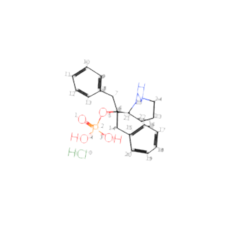 Cl.O=P(O)(O)OC(Cc1ccccc1)(Cc1ccccc1)[C@@H]1CCCN1